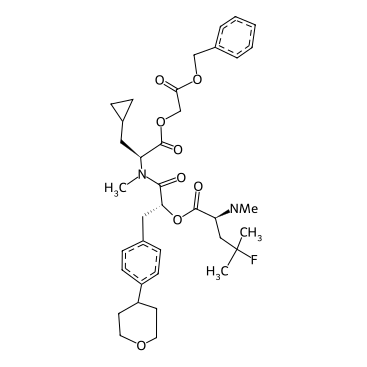 CN[C@@H](CC(C)(C)F)C(=O)O[C@H](Cc1ccc(C2CCOCC2)cc1)C(=O)N(C)[C@@H](CC1CC1)C(=O)OCC(=O)OCc1ccccc1